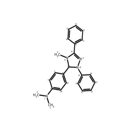 CN(C)c1ccc(C2N(C)C(c3ccccc3)=NN2c2ccccc2)cc1